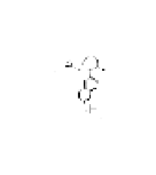 Cl.Nc1ccc2cc(C3C(C=O)CCCN3CC3CC3)ccc2c1